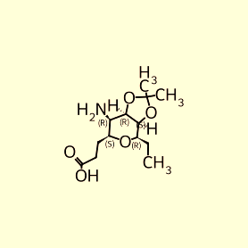 CC[C@H]1O[C@@H](CCC(=O)O)[C@@H](N)[C@H]2OC(C)(C)O[C@H]21